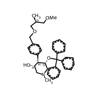 COC[C@H](C)COCc1ccc([C@@H]2[C@@H](O)CN(C)C[C@H]2OC(c2ccccc2)(c2ccccc2)c2ccccc2)cc1